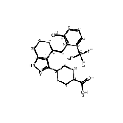 O=C(O)C1CCC(c2n[nH]c3c2C(Cc2c(Cl)cccc2C(F)(F)F)CCC3)CC1